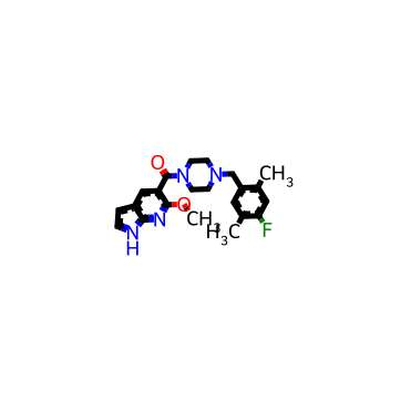 COc1nc2[nH]ccc2cc1C(=O)N1CCN(Cc2cc(C)c(F)cc2C)CC1